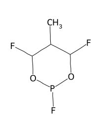 CC1C(F)OP(F)OC1F